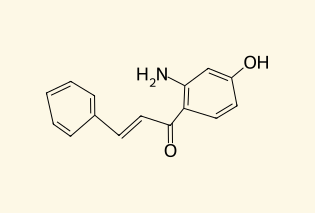 Nc1cc(O)ccc1C(=O)C=Cc1ccccc1